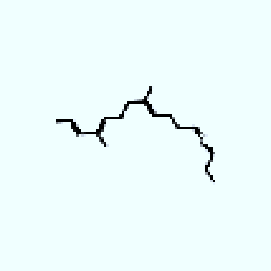 CC=CC(C)=CCCC(C)=CCCC=C=CCC